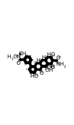 CN(C)C(=O)c1cccc(-c2ccc(O)c3c2C[C@H]2C[C@H]4CC(O)=C(C(N)=O)C(=O)[C@@]4(O)C(O)=C2C3=O)c1